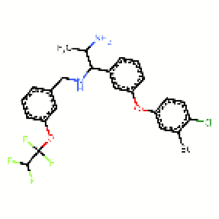 CCc1cc(Oc2cccc(C(NCc3cccc(OC(F)(F)C(F)F)c3)C(N)C(F)(F)F)c2)ccc1Cl